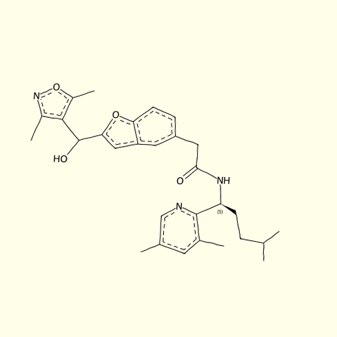 Cc1cnc([C@H](CCC(C)C)NC(=O)Cc2ccc3oc(C(O)c4c(C)noc4C)cc3c2)c(C)c1